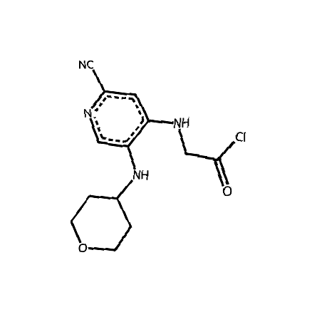 N#Cc1cc(NCC(=O)Cl)c(NC2CCOCC2)cn1